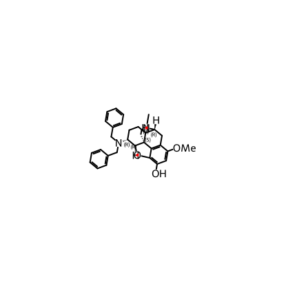 COc1cc(O)c2c3c1C[C@@H]1[C@@H]4CC[C@@H](N(Cc5ccccc5)Cc5ccccc5)[C@H](O2)[C@]34CCN1C